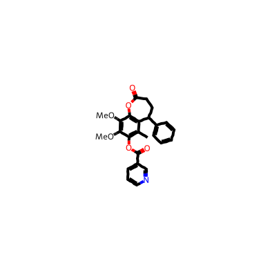 COc1c(OC(=O)c2cccnc2)c(C)c2c(c1OC)OC(=O)CCC2c1ccccc1